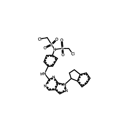 O=S(=O)(CCl)N(c1ccc(Nc2ncc3cnn(C4CCc5ccccc54)c3n2)cc1)S(=O)(=O)CCl